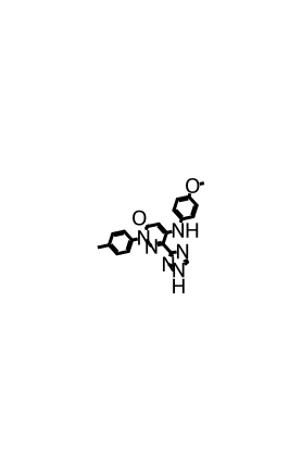 COc1ccc(Nc2cc(=O)n(-c3ccc(C)cc3)nc2-c2nc[nH]n2)cc1